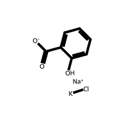 O=C([O-])c1ccccc1O.[Cl][K].[Na+]